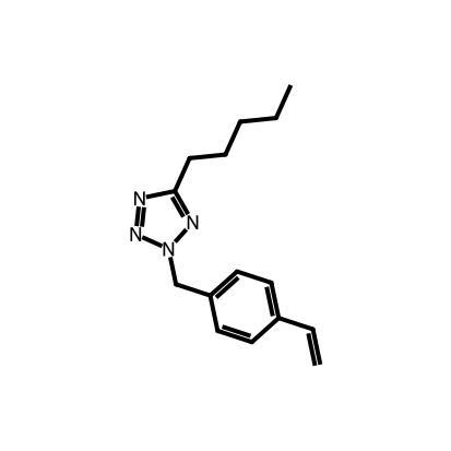 C=Cc1ccc(Cn2nnc(CCCCC)n2)cc1